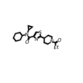 CCC(=O)N1CCC(c2nc(C(=O)N(C3CCCCC3)C3CC3)cs2)CC1